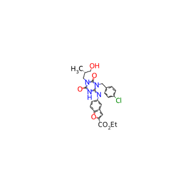 CCOC(=O)c1cc2cc(/N=c3\[nH]c(=O)n(C[C@H](C)CO)c(=O)n3Cc3ccc(Cl)cc3)ccc2o1